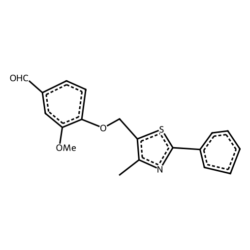 COc1cc(C=O)ccc1OCc1sc(-c2ccccc2)nc1C